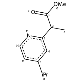 COC(=O)C(C)c1cc(C(C)C)ccn1